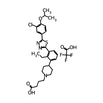 CCc1c(-c2nnc(-c3ccc(OC(C)C)c(Cl)c3)s2)cccc1C1CCN(CCCC(=O)O)CC1.O=C(O)C(F)(F)F